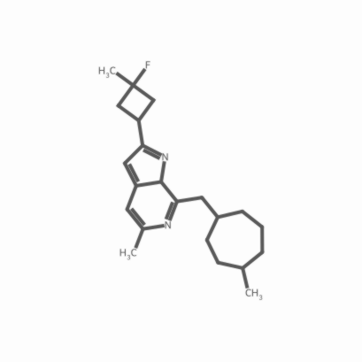 CC1=CC2=CC(C3CC(C)(F)C3)=NC2C(CC2CCCC(C)CC2)=N1